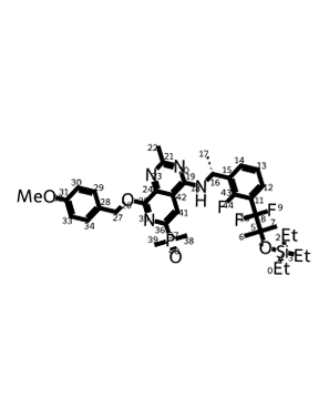 CC[Si](CC)(CC)OC(C)(C)C(F)(F)c1cccc([C@@H](C)Nc2nc(C)nc3c(OCc4ccc(OC)cc4)nc(P(C)(C)=O)cc23)c1F